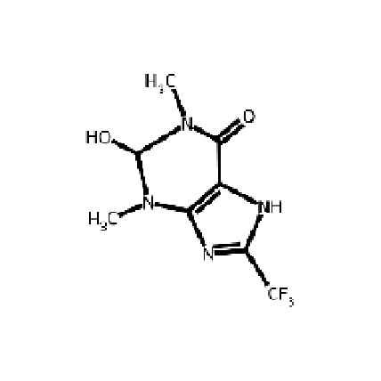 CN1C(=O)c2[nH]c(C(F)(F)F)nc2N(C)C1O